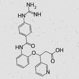 N=C(N)Nc1ccc(C(=O)Nc2ccccc2OC(CC(=O)O)c2cccnc2)cc1